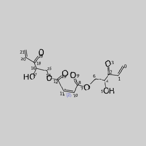 C=CC(=O)C(O)COC(=O)/C=C\C(=O)OCC(O)C(=O)C=C